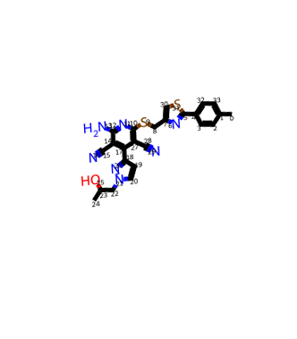 Cc1ccc(-c2nc(CSc3nc(N)c(C#N)c(-c4ccn(CC(C)O)n4)c3C#N)cs2)cc1